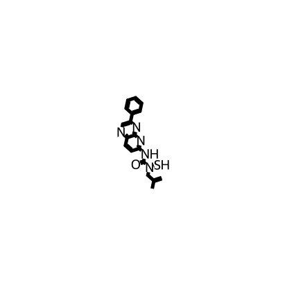 C=C(C)CN(S)C(=O)Nc1ccc2ncc(-c3ccccc3)nc2n1